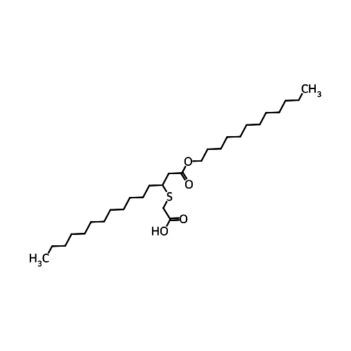 CCCCCCCCCCCCOC(=O)CC(CCCCCCCCCCCC)SCC(=O)O